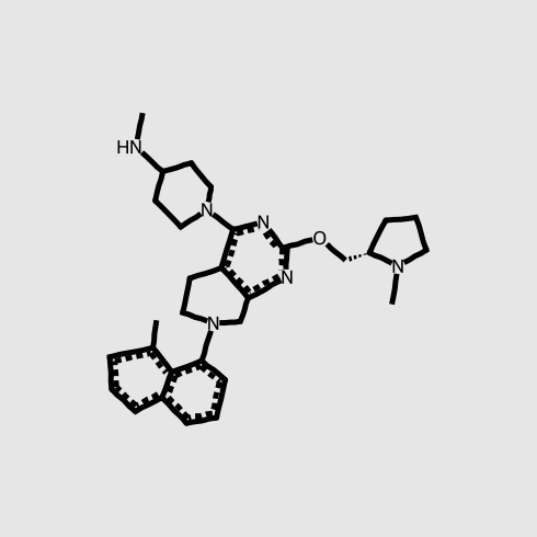 CNC1CCN(c2nc(OC[C@@H]3CCCN3C)nc3c2CCN(c2cccc4cccc(C)c24)C3)CC1